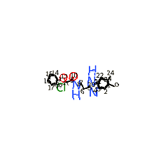 Cc1cc2nc(CCNC(=O)COc3ccccc3Cl)[nH]c2cc1C